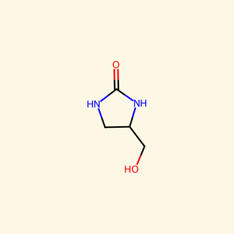 O=C1NCC(CO)N1